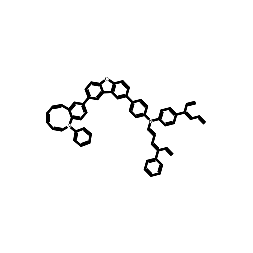 C=C/C=C(\C=C)c1ccc(N(/C=C/C=C(\C=C)c2ccccc2)c2ccc(-c3ccc4oc5ccc(-c6ccc7c(ccccccn7-c7ccccc7)c6)cc5c4c3)cc2)cc1